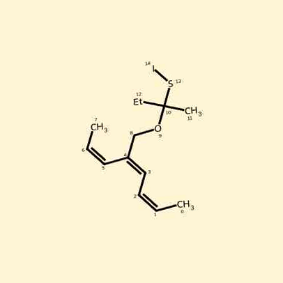 C\C=C/C=C(\C=C/C)COC(C)(CC)SI